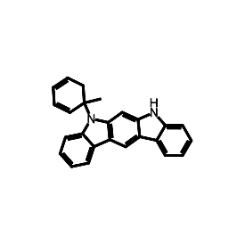 CC1(n2c3ccccc3c3cc4c(cc32)[nH]c2ccccc24)C=CC=CC1